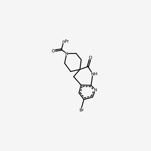 CCCC(=O)N1CCC2(CC1)Cc1cc(Br)cnc1NC2=O